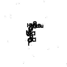 CC(C)(C)OC(=O)NC1CCN(c2nccc(Oc3ccc(I)cc3Cl)c2Cl)CC1